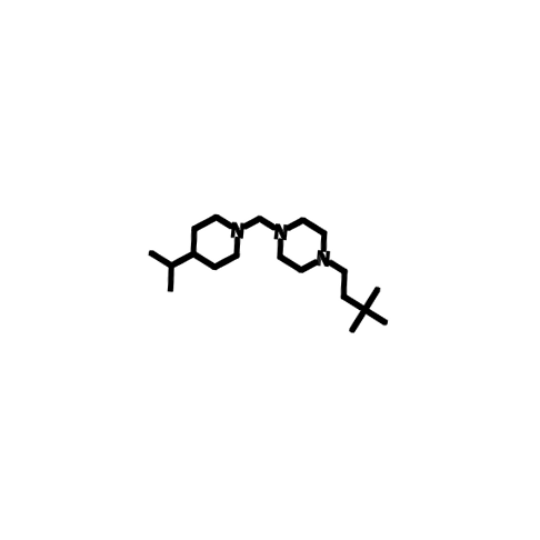 CC(C)C1CCN(CN2CCN(CCC(C)(C)C)CC2)CC1